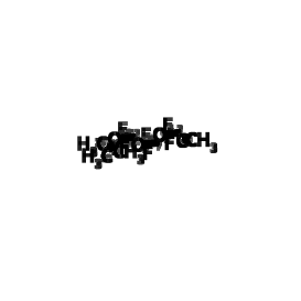 COCC(F)(F)OCC(F)(F)OCC(F)(F)OC(C)(C)C